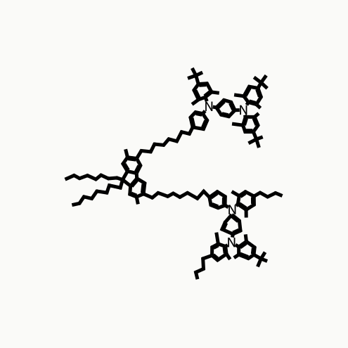 CCCCCCCCC1(CCCCCCCC)c2cc(C)c(CCCCCCCCc3ccc(N(c4ccc(N(c5c(C)cc(CCCC)cc5C)c5c(C)cc(C(C)(C)C)cc5C)cc4)c4c(C)cc(CCCC)cc4C)cc3)cc2-c2cc(CCCCCCCCc3ccc(N(c4ccc(N(c5c(C)cc(C(C)(C)C)cc5C)c5c(C)cc(C(C)(C)C)cc5C)cc4)c4c(C)cc(C(C)(C)C)cc4C)cc3)c(C)cc21